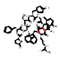 CC(C)C[C@H](NC(=O)[C@@H](Cc1ccc(O)cc1)NC(=O)[C@H](Cc1ccc(O)cc1)NC(=O)[C@H](CO)NC(=O)[C@H](Cc1cccc2ccccc12)NC(=O)[C@@H](Cc1ccccc1)NC(=O)[C@@H]1CCC(=O)N1)C(=O)N[C@@H](CCCNC(=N)N)C(=O)N1CCC[C@H]1C(=O)NCC(N)=O